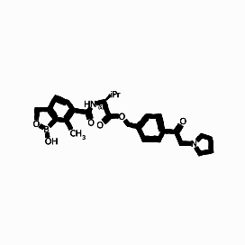 Cc1c(C(=O)N[C@H](C(=O)OCc2ccc(C(=O)CN3CCCC3)cc2)C(C)C)ccc2c1B(O)OC2